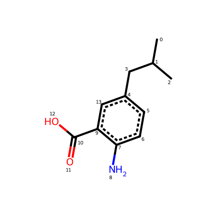 CC(C)Cc1ccc(N)c(C(=O)O)c1